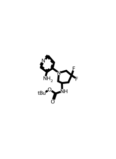 CC(C)(C)OC(=O)NC1CN(c2ccncc2N)CC(F)(F)C1